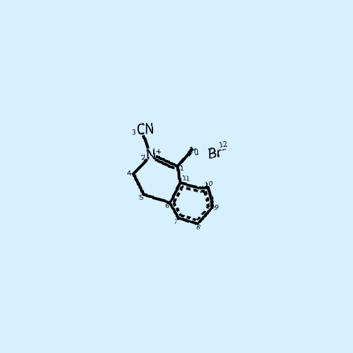 CC1=[N+](C#N)CCc2ccccc21.[Br-]